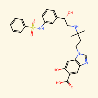 CC(C)(CCn1cnc2cc(C(=O)O)c(O)cc21)NC[C@@H](O)c1cccc(NS(=O)(=O)c2ccccc2)c1